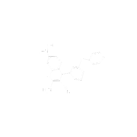 CN(C)c1ccc2c(c1)OC(N)=C(C#N)C2c1cccc(Oc2ccccc2)c1